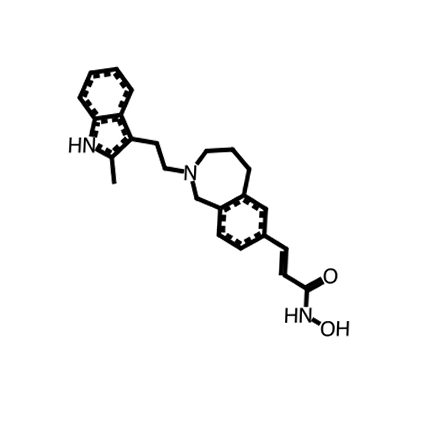 Cc1[nH]c2ccccc2c1CCN1CCCc2cc(/C=C/C(=O)NO)ccc2C1